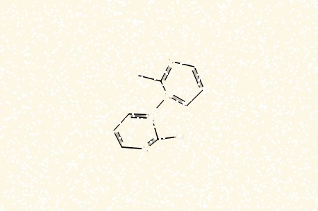 Cc1nccc[n+]1-[n+]1cccnc1N